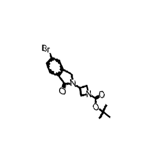 CC(C)(C)OC(=O)N1CC(N2Cc3cc(Br)ccc3C2=O)C1